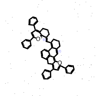 C1=C(c2ccccc2)OC2=C(/C=C3/CCCC(/C=C4\CCCc5c(-c6ccccc6)cc(-c6ccccc6)[o+]c54)=C3c3ccccc3)CCCC2=C1c1ccccc1